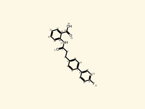 O=C(CCc1ccc(-c2ccc(F)nc2)cc1)Nc1ccccc1C(=O)O